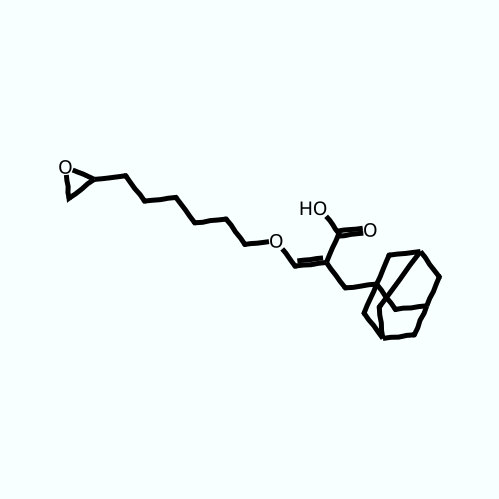 O=C(O)C(=COCCCCCCC1CO1)CC12CC3CC(CC(C3)C1)C2